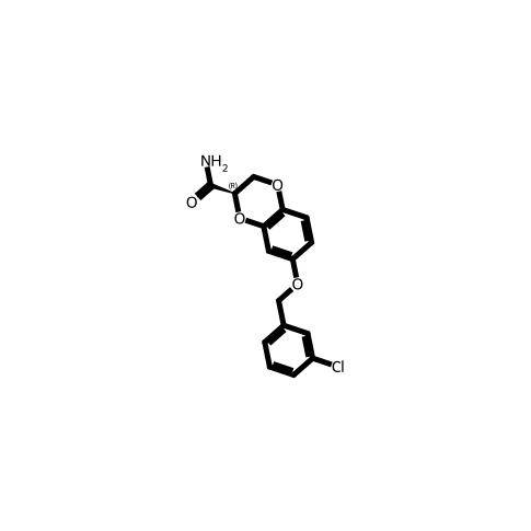 NC(=O)[C@H]1COc2ccc(OCc3cccc(Cl)c3)cc2O1